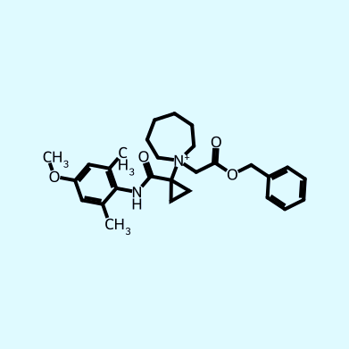 COc1cc(C)c(NC(=O)C2([N+]3(CC(=O)OCc4ccccc4)CCCCCC3)CC2)c(C)c1